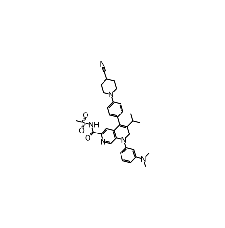 CC(C)C1=C(c2ccc(N3CCC(C#N)CC3)cc2)c2cc(C(=O)NS(C)(=O)=O)ncc2N(c2cccc(N(C)C)c2)C1